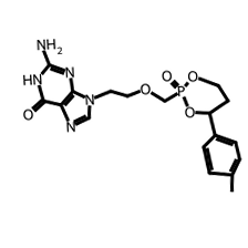 Cc1ccc(C2CCOP(=O)(COCCn3cnc4c(=O)[nH]c(N)nc43)O2)cc1